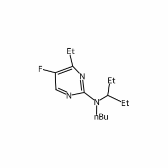 CCCCN(c1ncc(F)c(CC)n1)C(CC)CC